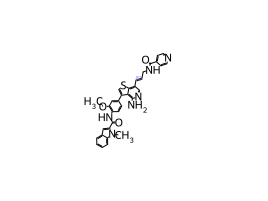 COc1cc(-c2csc3c(/C=C/CNC(=O)c4ccncc4)cnc(N)c23)ccc1NC(=O)c1cc2ccccc2n1C